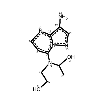 CC(O)N(CCO)c1ccnc2c(N)cnn12